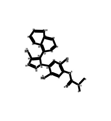 CN(C)C(=O)Oc1cc(O)c(-n2nnc(S)c2-c2cccc3ncccc23)cc1Cl